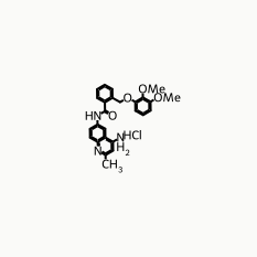 COc1cccc(OCc2ccccc2C(=O)Nc2ccc3nc(C)cc(N)c3c2)c1OC.Cl